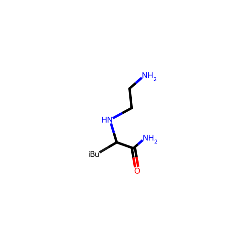 CCC(C)C(NCCN)C(N)=O